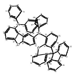 c1ccc(N(c2ccc3oc4cccc(N(c5ccccc5)c5ccccc5)c4c3c2)c2cccc3c2Oc2ccccc2C32c3ccccc3-c3ccccc32)cc1